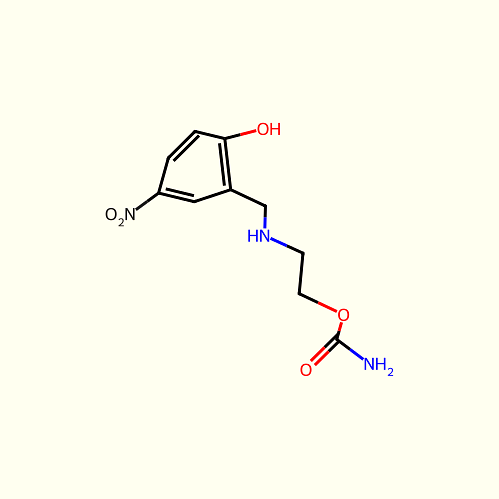 NC(=O)OCCNCc1cc([N+](=O)[O-])ccc1O